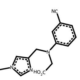 Cn1cnc(CN(CC(=O)O)c2cccc(C#N)c2)c1